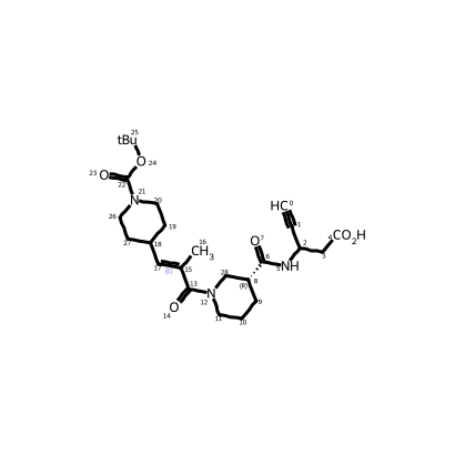 C#CC(CC(=O)O)NC(=O)[C@@H]1CCCN(C(=O)/C(C)=C/C2CCN(C(=O)OC(C)(C)C)CC2)C1